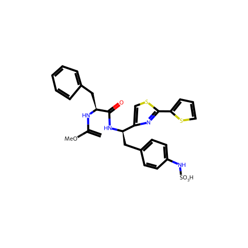 C=C(N[C@@H](Cc1ccccc1)C(=O)N[C@H](Cc1ccc(NS(=O)(=O)O)cc1)c1csc(-c2cccs2)n1)OC